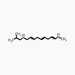 CN/C=C/C/C=C/C/C=C/CNCC(C)C